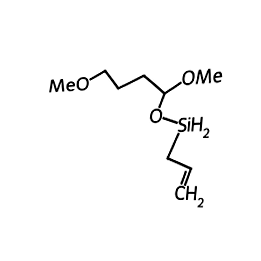 C=CC[SiH2]OC(CCCOC)OC